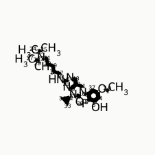 CCOc1cc(O)c(F)c(N2Cc3cnc(NCCCCCN(C(C)C)C(C)C)nc3N(C3CC3)C2=O)c1